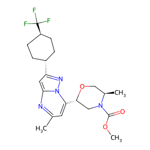 COC(=O)N1C[C@H](c2cc(C)nc3cc([C@H]4CC[C@H](C(F)(F)F)CC4)nn23)OC[C@H]1C